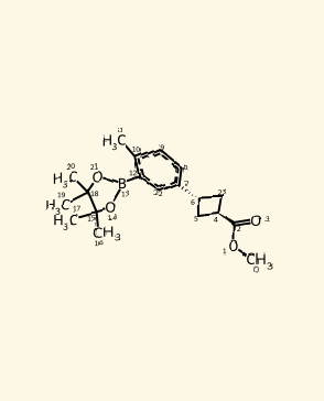 COC(=O)[C@H]1C[C@H](c2ccc(C)c(B3OC(C)(C)C(C)(C)O3)c2)C1